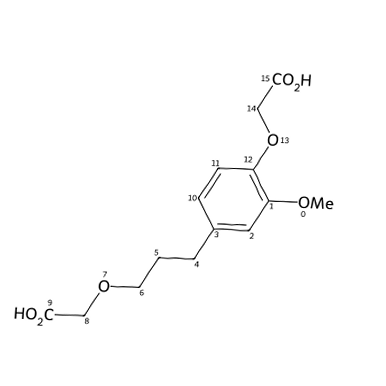 COc1cc(CCCOCC(=O)O)ccc1OCC(=O)O